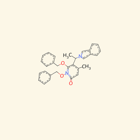 Cc1cc(=O)n(OCc2ccccc2)c(OCc2ccccc2)c1C(C)n1cc2ccccc2c1